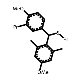 CCSC(c1ccc(OC)c(C(C)C)c1)c1c(C)cc(OC)cc1C